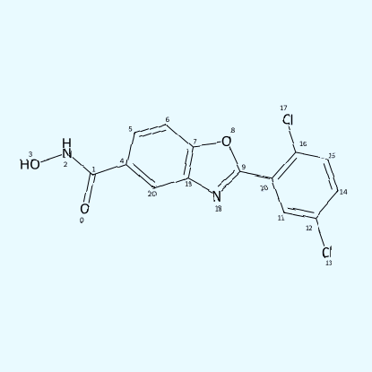 O=C(NO)c1ccc2oc(-c3cc(Cl)ccc3Cl)nc2c1